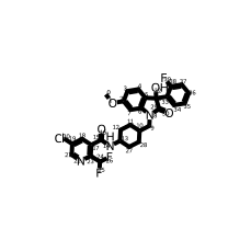 COc1ccc2c(c1)N(CC1CCC(NC(=O)c3cc(Cl)cnc3C(F)F)CC1)C(=O)C2(O)c1ccccc1F